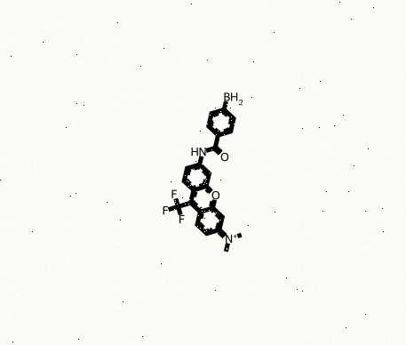 Bc1ccc(C(=O)Nc2ccc3c(C(F)(F)F)c4ccc(=[N+](C)C)cc-4oc3c2)cc1